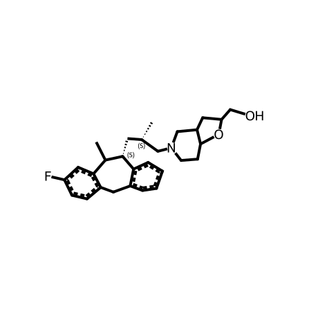 CC1c2cc(F)ccc2Cc2ccccc2[C@H]1C[C@H](C)CN1CCC2OC(CO)CC2C1